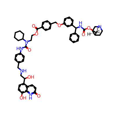 O=C(NC(c1ccccc1)c1cccc(OCc2ccc(C(=O)OCCN(C(=O)Nc3ccc(CNCC(O)c4ccc(O)c5[nH]c(=O)ccc45)cc3)C3CCCCC3)cc2)c1)O[C@H]1CN2CCC1CC2